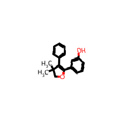 CC1(C)COC(c2cccc(O)c2)=C1c1ccccc1